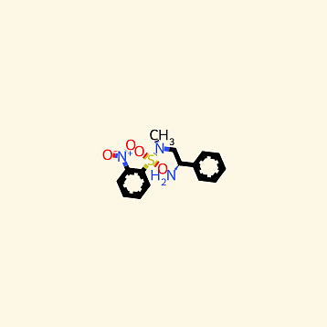 CN(C[C@@H](N)c1ccccc1)S(=O)(=O)c1ccccc1[N+](=O)[O-]